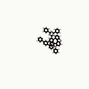 c1ccc(-c2ccc(-c3ccccc3)c(-c3ccc(-c4cccc5sc6ccc7c(c8ccccc8n7-c7ccccc7)c6c45)c(-c4nc(-c5ccccc5)nc(-c5ccccc5)n4)c3)c2)cc1